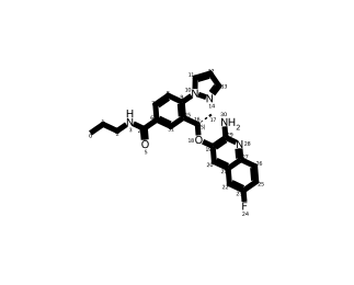 CCCNC(=O)c1ccc(-n2cccn2)c([C@H](C)Oc2cc3cc(F)ccc3nc2N)c1